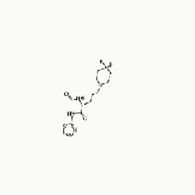 O=CNC(CCCN1CCC(F)(F)CC1)C(=O)Nc1nccs1